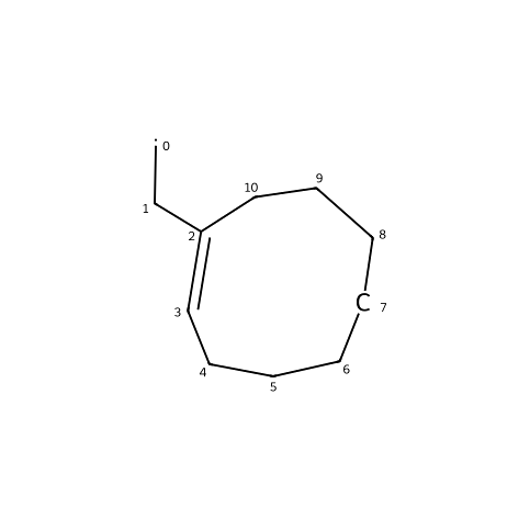 [CH2]CC1=CCCCCCCC1